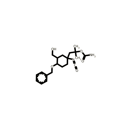 CC(C)(CC1(N=C=O)CCC(OCc2ccccc2)C(CO)C1)OC(N)=O